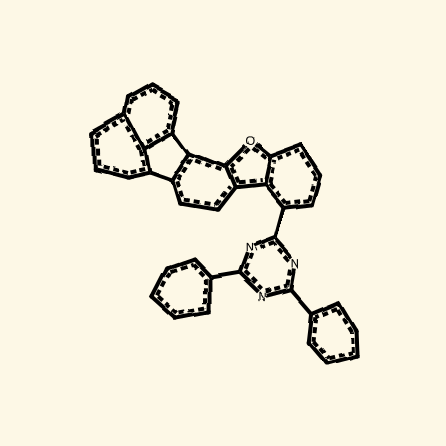 c1ccc(-c2nc(-c3ccccc3)nc(-c3cccc4oc5c6c(ccc5c34)-c3cccc4cccc-6c34)n2)cc1